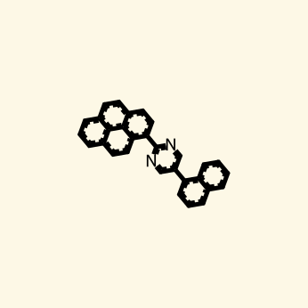 c1ccc2c(-c3cnc(-c4ccc5ccc6cccc7ccc4c5c67)nc3)cccc2c1